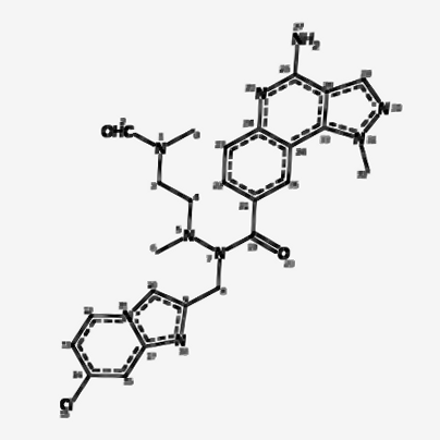 CN(C=O)CCN(C)N(Cc1cn2ccc(Cl)cc2n1)C(=O)c1ccc2nc(N)c3cnn(C)c3c2c1